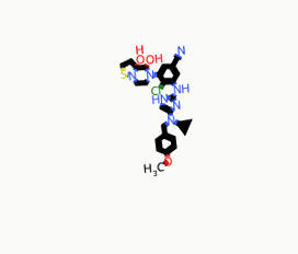 COc1ccc(CN(c2c[nH]c(Nc3cc(C#N)cc(N4CCN5SCCC5(O)C4O)c3Cl)n2)C2CC2)cc1